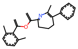 C=C(OC(=C)c1c(C)cccc1C)C1=NC(C)=C(c2ccccc2)CCC1